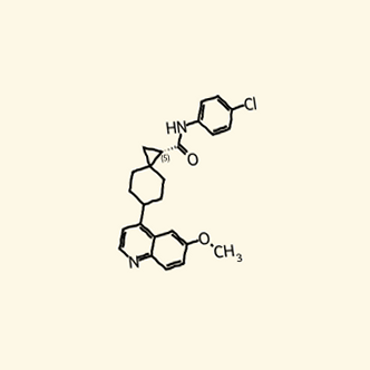 COc1ccc2nccc(C3CCC4(CC3)C[C@@H]4C(=O)Nc3ccc(Cl)cc3)c2c1